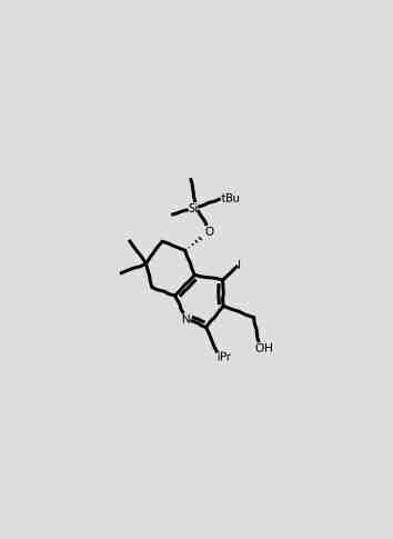 CC(C)c1nc2c(c(I)c1CO)[C@@H](O[Si](C)(C)C(C)(C)C)CC(C)(C)C2